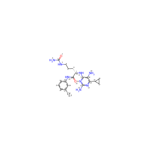 NC(=O)NCCC[C@H](Nc1nc(N)nc(C2CC2)c1N)C(=O)Nc1cccc(C(F)(F)F)c1